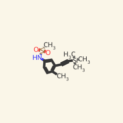 Cc1ccc(NS(C)(=O)=O)cc1C#C[Si](C)(C)C